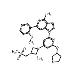 COc1ccncc1-c1cc2c(cnn2-c2cc(N3C[C@H](CS(C)(=O)=O)[C@H]3C)cc(OC3CCOC3)n2)c(C)n1